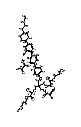 C=C(C)C(=O)OCC(COC(=O)C(=O)OCCOC)(COC(=O)C(=O)OCCOC)COc1ccc(-c2ccc(-c3ccc(C4CCC(CCCCC)CC4)cc3F)cc2OC(=O)C(=C)C)cc1